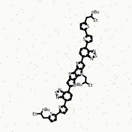 CCCCC(CC)Cc1ccc(-c2ccc(-c3ccc(-c4cc5c(s4)c4sc6cc(-c7ccc(-c8ccc(-c9ccc(CC(CC)CCCC)s9)s8)c8nsnc78)sc6c4n5CC(CC)CCCC)c4nsnc34)s2)s1